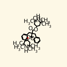 CC1(C)CC(OC(=O)C(Cc2ccccc2)(Cc2ccccc2)C(=O)OC2CC(C)(C)NC(C)(C)C2)CC(C)(C)N1